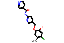 O=Cc1cc(OCc2ccc(NC(=O)c3ccncc3)nc2)c(O)cc1Br